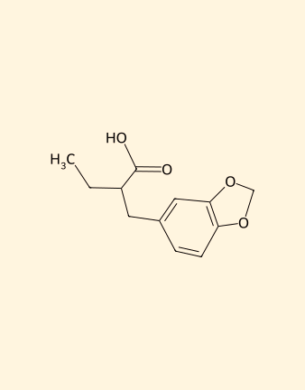 CCC(Cc1ccc2c(c1)OCO2)C(=O)O